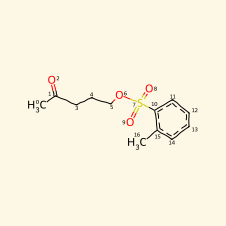 CC(=O)CCCOS(=O)(=O)c1ccccc1C